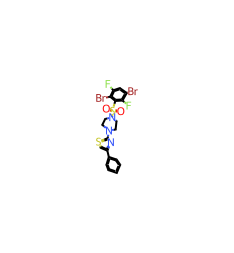 O=S(=O)(c1c(F)c(Br)cc(F)c1Br)N1CCN(c2nc(-c3ccccc3)cs2)CC1